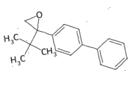 CC(C)(C)C1(c2ccc(-c3ccccc3)cc2)CO1